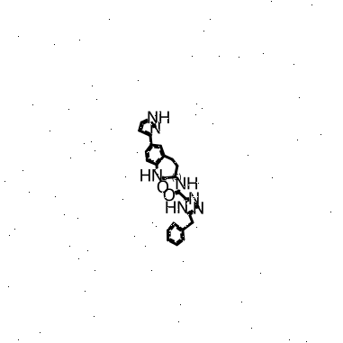 O=C(N[C@H]1CCc2cc(-c3cc[nH]n3)ccc2NC1=O)c1nnc(Cc2ccccc2)[nH]1